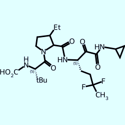 CCC1CCN(C(=O)[C@@H](NC(=O)O)C(C)(C)C)C1C(=O)N[C@@H](CCC(C)(F)F)C(=O)C(=O)NC1CC1